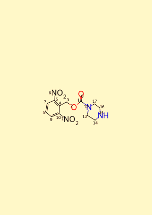 O=C(OCc1c([N+](=O)[O-])cccc1[N+](=O)[O-])N1CCNCC1